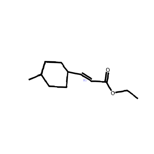 CCOC(=O)/C=C/C1CCC(C)CC1